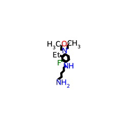 CCc1c(N2C[C@@H](C)O[C@@H](C)C2)ccc(NCCCCCN)c1F